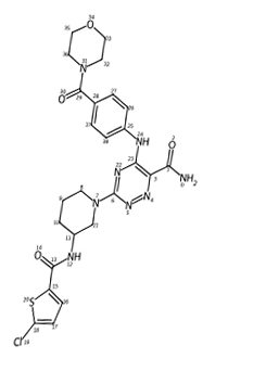 NC(=O)c1nnc(N2CCCC(NC(=O)c3ccc(Cl)s3)C2)nc1Nc1ccc(C(=O)N2CCOCC2)cc1